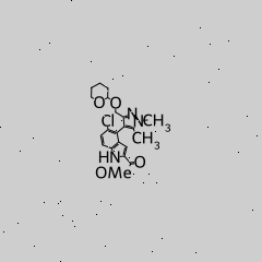 COC(=O)c1cc2c(-c3c(COC4CCCCO4)nn(C)c3C)c(Cl)ccc2[nH]1